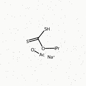 CC(=O)[O-].CC(C)OC(=S)S.[Na+]